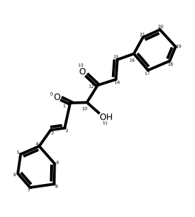 O=C(C=Cc1ccccc1)C(O)C(=O)C=Cc1ccccc1